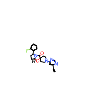 C#Cc1cc(N2CCC3(CC2)O[C@@H]2CC[C@@H](c4ccccc4F)N2C3=O)ncn1